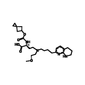 COCCN(CCCCc1ccc2c(n1)NCCC2)CC[C@H](NC(=O)OC1CC2(CC2)C1)C(=O)O